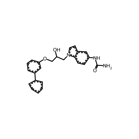 NC(=O)Nc1ccc2c(ccn2CC(O)COc2cccc(-c3ccccc3)c2)c1